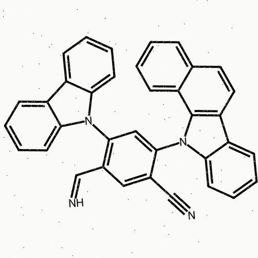 N#Cc1cc(C=N)c(-n2c3ccccc3c3ccccc32)cc1-n1c2ccccc2c2ccc3ccccc3c21